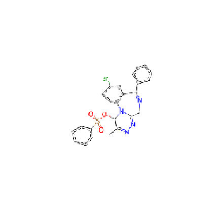 CC1=NN=C2CN=C(c3ccccc3)c3cc(Br)ccc3N2C1OS(=O)(=O)c1ccccc1